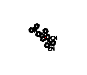 N#Cc1cc(-c2ccccc2-n2c3ccccc3c3ccc(-n4c5ccccc5c5ccccc54)cc32)ccc1-n1c2ccccc2c2c(C#N)cccc21